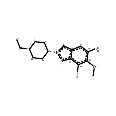 CC[C@H]1CC[C@H](n2cc3cc(Br)c(OC)c(I)c3n2)CC1